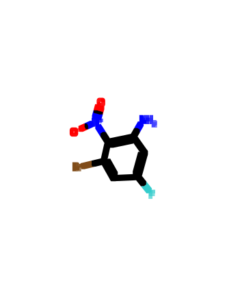 Nc1cc(F)cc(Br)c1[N+](=O)[O-]